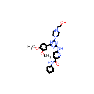 COc1ccc(-c2nc(Nc3ccc(C(=O)Nc4ccccc4)cn3)nc(N3CCN(CCO)CC3)n2)cc1OC